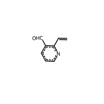 C=Cc1ncccc1C=O